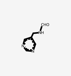 O=CNCc1cncnc1